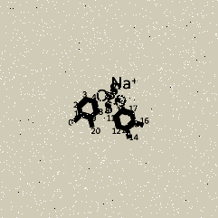 Cc1ccc(OP(=S)([S-])Oc2ccc(C)c(C)c2)cc1C.[Na+]